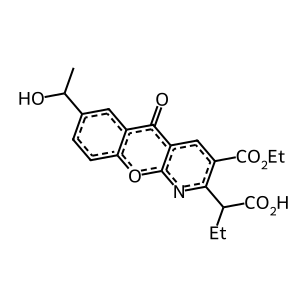 CCOC(=O)c1cc2c(=O)c3cc(C(C)O)ccc3oc2nc1C(CC)C(=O)O